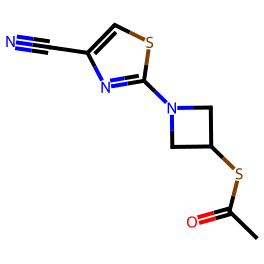 CC(=O)SC1CN(c2nc(C#N)cs2)C1